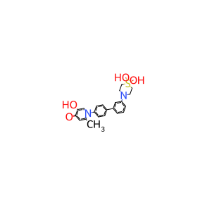 Cc1cc(=O)c(O)cn1-c1ccc(-c2cccc(N3CCS(O)(O)CC3)c2)cc1